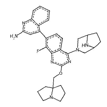 Nc1cc(-c2ccc3c(N4CC5CCC(C4)N5)nc(OCC45CCCN4CCC5)nc3c2F)c2ccccc2n1